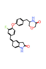 O=C1CC2=CC(=Cc3ccc(Oc4ccc(CC5COCC(=O)N5)cc4)c(F)c3)CC=C2N1